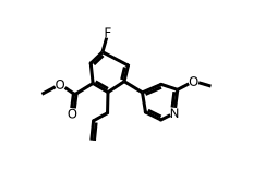 C=CCc1c(C(=O)OC)cc(F)cc1-c1ccnc(OC)c1